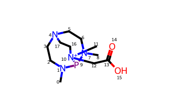 CN1CCN2CCN(C)P1[N+](C)(CC(=O)O)CC2